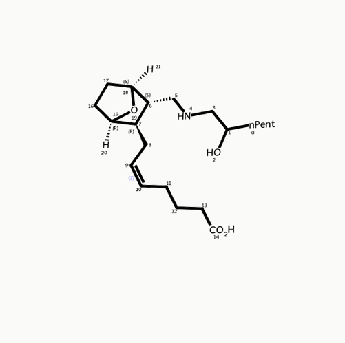 CCCCCC(O)CNC[C@@H]1[C@@H](C/C=C\CCCC(=O)O)[C@H]2CC[C@@H]1O2